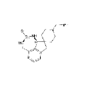 C[C](C)CN1CCC2(CC1)Cc1cccc(F)c1[C@H]2N[S@+]([O-])C(C)(C)C